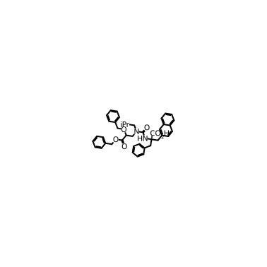 CC(C)CN(CC(OCc1ccccc1)C(=O)OCc1ccccc1)C(=O)N[C@@](Cc1ccccc1)(Cc1ccc2ccccc2c1)C(=O)O